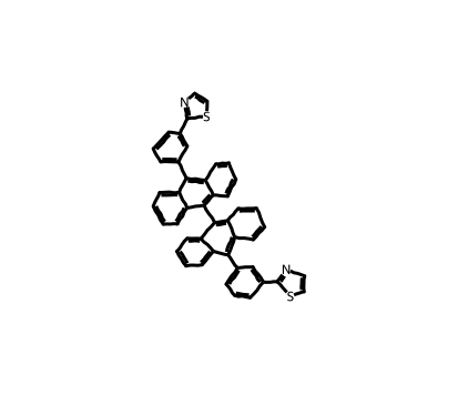 c1cc(-c2nccs2)cc(-c2c3ccccc3c(-c3c4ccccc4c(-c4cccc(-c5nccs5)c4)c4ccccc34)c3ccccc23)c1